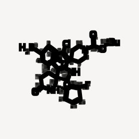 Bc1ccc(OC2CCN(C(=O)OC(C)(C)C)CC2)c([C@H]2CC(=O)N[C@@H](c3cccc(F)c3)[C@]23C(=O)Nc2cc(Cl)ccc23)c1